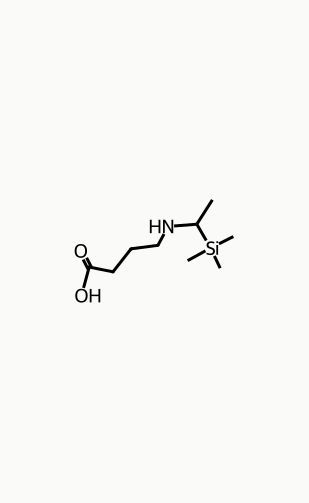 CC(NCCCC(=O)O)[Si](C)(C)C